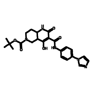 CC(C)(C)OC(=O)N1CCC2NC(=O)C(C(=O)Nc3ccc(-n4ccnc4)cc3)=C(O)C2C1